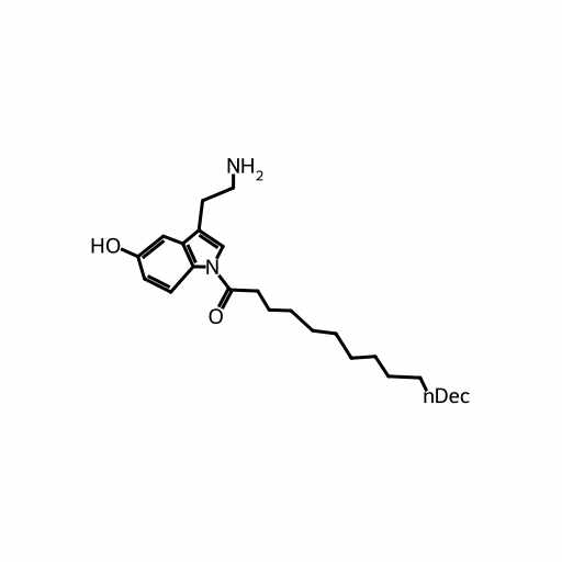 CCCCCCCCCCCCCCCCCCCC(=O)n1cc(CCN)c2cc(O)ccc21